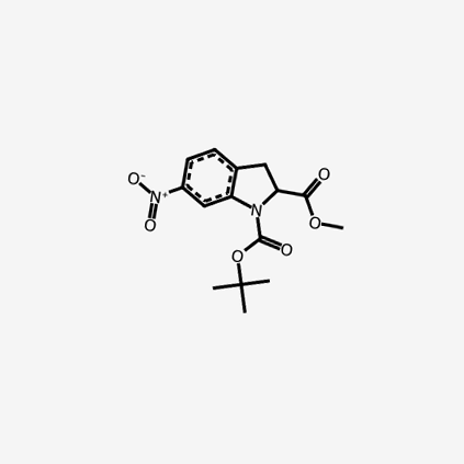 COC(=O)C1Cc2ccc([N+](=O)[O-])cc2N1C(=O)OC(C)(C)C